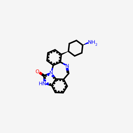 N[C@H]1CC[C@@H](c2cccc3c2N=Cc2cccc4[nH]c(=O)n-3c24)CC1